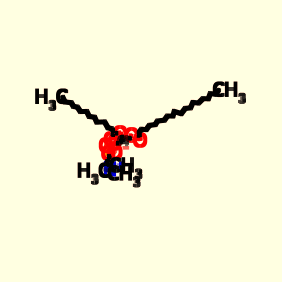 CCCCCCCCCCCCCCCCCCCC(=O)OC[C@H](COP(=O)([O-])OCC[N+](C)(C)C)OC(=O)CCCCCCCCCCCCC